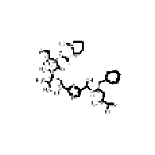 CC[C@H](C)[C@H](NC(=O)[C@H]1CCCCN1C)C(=O)N(C)[C@H](C[C@@H](O)c1nc(C(O)N[C@@H](Cc2ccccc2)C[C@H](C)C(=O)O)cs1)C(C)C